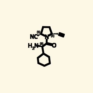 C#C[C@H]1CC[C@@H](C#N)N1C(=O)[C@H](N)C1CCCCC1